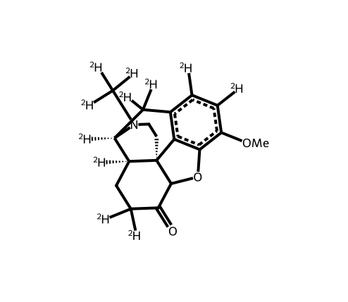 [2H]c1c([2H])c2c3c(c1OC)OC1C(=O)C([2H])([2H])C[C@]4([2H])[C@@]31CCN(C([2H])([2H])[2H])[C@]4([2H])C2([2H])[2H]